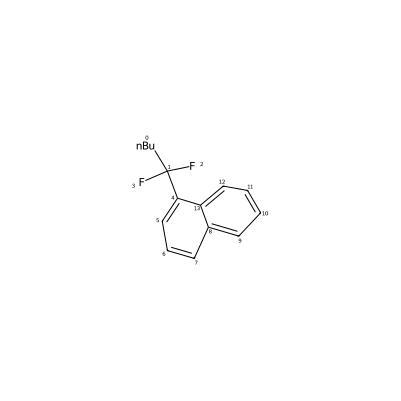 [CH2]CCCC(F)(F)c1cccc2ccccc12